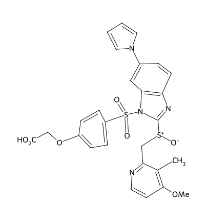 COc1ccnc(C[S+]([O-])c2nc3ccc(-n4cccc4)cc3n2S(=O)(=O)c2ccc(OCC(=O)O)cc2)c1C